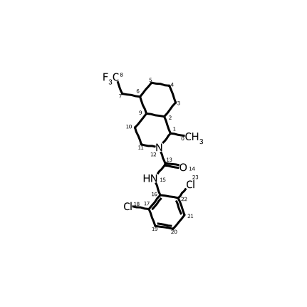 CC1C2CCCC(CC(F)(F)F)C2CCN1C(=O)Nc1c(Cl)cccc1Cl